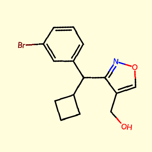 OCc1conc1C(c1cccc(Br)c1)C1CCC1